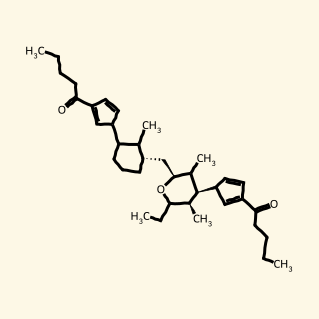 CCCCC(=O)C1=CC(C2CCC[C@@H](C[C@@H]3OC(CC)[C@H](C)[C@H](C4C=CC(C(=O)CCCC)=C4)C3C)C2C)C=C1